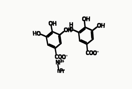 CC[CH2][Ni+2].O=C([O-])c1cc(O)c(O)c(O)c1.O=C([O-])c1cc(O)c(O)c(O)c1